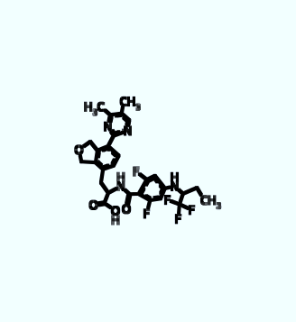 CCC(Nc1cc(F)c(C(=O)NC(Cc2ccc(-c3ncc(C)c(C)n3)c3c2COC3)C(=O)O)c(F)c1)C(F)(F)F